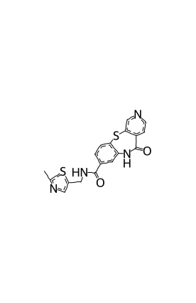 Cc1ncc(CNC(=O)c2ccc3c(c2)NC(=O)c2ccncc2S3)s1